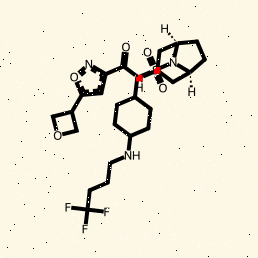 O=C(NC1C[C@H]2CC[C@@H](C1)N2S(=O)(=O)CC1CCC(NCCCC(F)(F)F)CC1)c1cc(C2COC2)on1